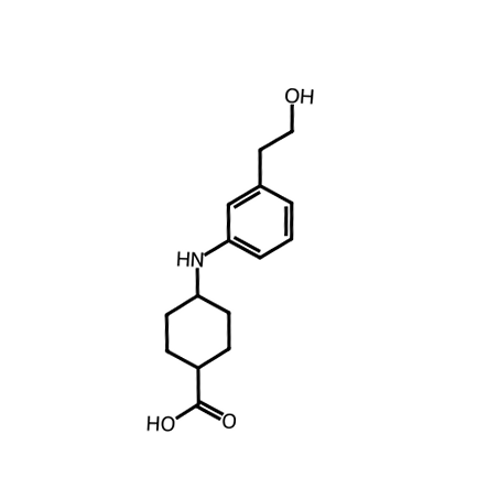 O=C(O)C1CCC(Nc2cccc(CCO)c2)CC1